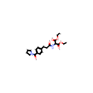 CCOC(=O)C(NC(=O)CCc1ccc(C(=O)n2cccc2)cc1)C(=O)OCC